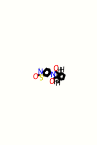 Cn1c(=O)sc2cc(N3C(=O)[C@@H]4[C@H](C3=O)[C@@H]3C=C[C@H]4C3)ccc21